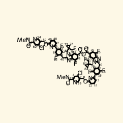 CNC(=O)c1cc(Cl)c(COc2cccc(-c3cc(F)c(Cc4nc5c(F)cc(C(=O)OC(=O)c6cc(F)c7nc(Cc8cc(F)c(-c9cccc(OCc%10cnc(C(=O)NC)cc%10Cl)n9)cc8F)n(CC8(CF)CC8)c7c6)cc5n4CC4(CF)CC4)cc3F)n2)cn1